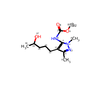 Cc1nn(C)c(NC(=O)OC(C)(C)C)c1CCCC(C)O